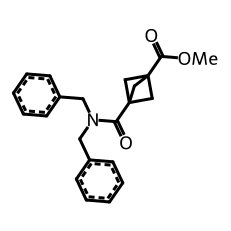 COC(=O)C12CC(C(=O)N(Cc3ccccc3)Cc3ccccc3)(C1)C2